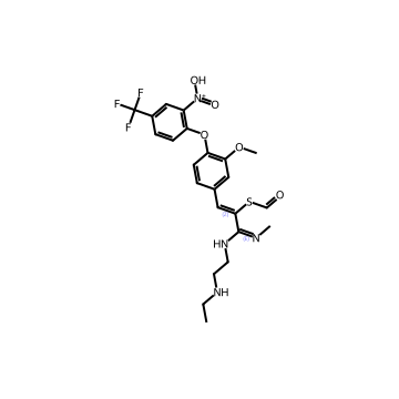 CCNCCNC(=N/C)/C(=C/c1ccc(Oc2ccc(C(F)(F)F)cc2[N+](=O)O)c(OC)c1)SC=O